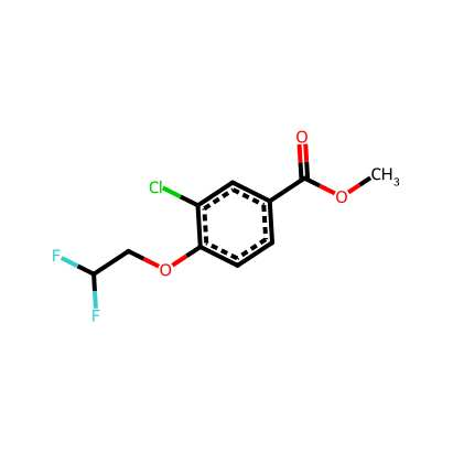 COC(=O)c1ccc(OCC(F)F)c(Cl)c1